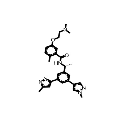 Cc1cc(-c2cc(-c3cnn(C)c3)cc([C@@H](C)NC(=O)c3cc(OCCN(C)C)ccc3C)c2)sn1